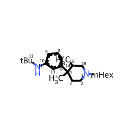 CCCCCCN1CCC(C)(c2cccc(NC(C)(C)C)c2)C(C)C1